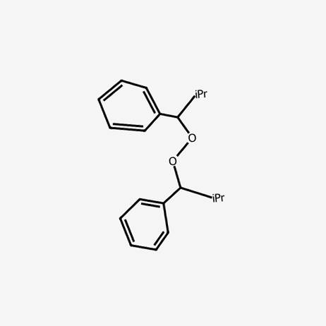 CC(C)C(OOC(c1ccccc1)C(C)C)c1ccccc1